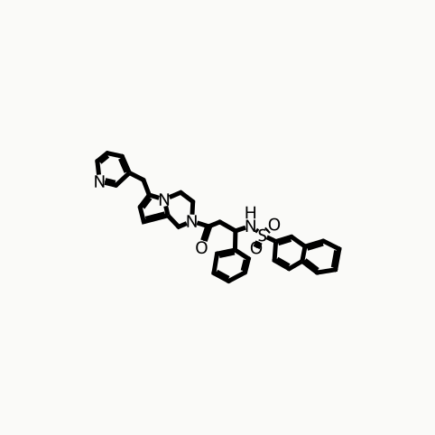 O=C(CC(NS(=O)(=O)c1ccc2ccccc2c1)c1ccccc1)N1CCn2c(Cc3cccnc3)ccc2C1